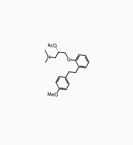 COc1ccc(CCc2ccccc2OC[C@H](CN(C)C)OC(C)=O)cc1